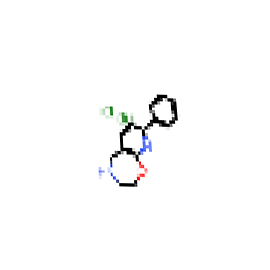 Cl.Cl.c1ccc(-c2ccc3c(n2)OCCNC3)cc1